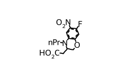 CCCN1c2cc([N+](=O)[O-])c(F)cc2OCC1CC(=O)O